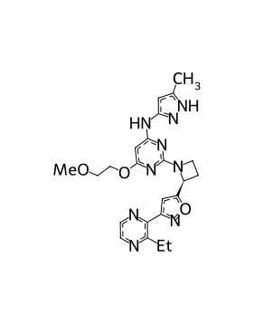 CCc1nccnc1-c1cc([C@@H]2CCN2c2nc(Nc3cc(C)[nH]n3)cc(OCCOC)n2)on1